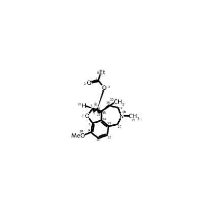 CCC(=O)O[C@@H]1C[C@@H]2Oc3c(OC)ccc4c3[C@]2(CCN(C)C4)C1C